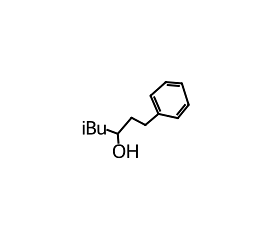 CCC(C)C(O)CCc1ccccc1